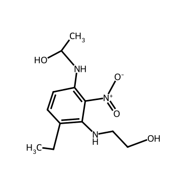 CCc1ccc(NC(C)O)c([N+](=O)[O-])c1NCCO